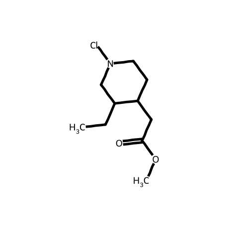 CCC1CN(Cl)CCC1CC(=O)OC